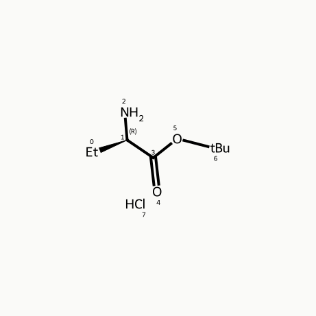 CC[C@@H](N)C(=O)OC(C)(C)C.Cl